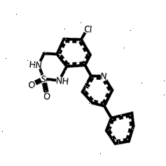 O=S1(=O)NCc2cc(Cl)cc(-c3ccc(-c4ccccc4)cn3)c2N1